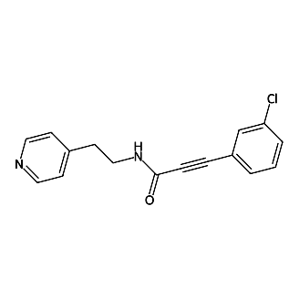 O=C(C#Cc1cccc(Cl)c1)NCCc1ccncc1